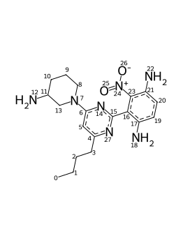 CCCCc1cc(N2CCCC(N)C2)nc(-c2c(N)ccc(N)c2[N+](=O)[O-])n1